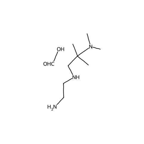 CN(C)C(C)(C)CNCCN.O=CO